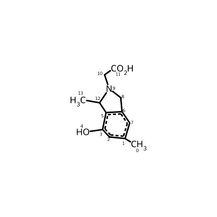 Cc1cc(O)c2c(c1)CN(CC(=O)O)C2C